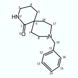 O=C1NCCCC12CCN(Cc1ccccc1)CC2